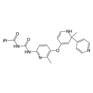 Cc1nc(NC(=O)NC(=O)C(C)C)ccc1OC1=CC(C)(c2ccncc2)NC=C1